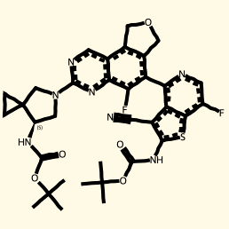 CC(C)(C)OC(=O)Nc1sc2c(F)cnc(-c3c4c(c5cnc(N6C[C@@H](NC(=O)OC(C)(C)C)C7(CC7)C6)nc5c3F)COC4)c2c1C#N